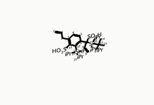 C=CCc1ccc(C(C=C)([Si](C(C)C)(C(C)C)C(C)(C)CCC)S(=O)(=O)O)c([Si](C(C)C)(C(C)C)C(C)C)c1S(=O)(=O)O